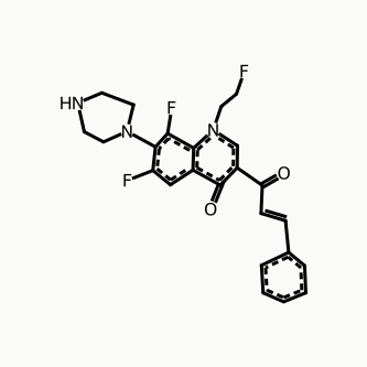 O=C(/C=C/c1ccccc1)c1cn(CCF)c2c(F)c(N3CCNCC3)c(F)cc2c1=O